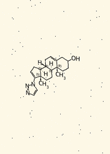 C[C@]12CCC(O)CC1=CC[C@@H]1[C@@H]2CC[C@]2(C)C(n3ccnn3)=CC[C@@H]12